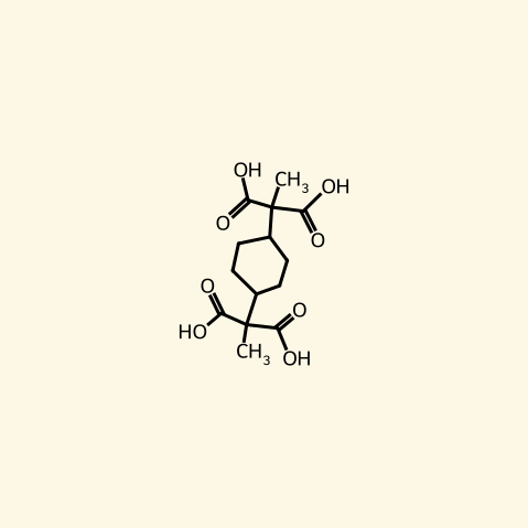 CC(C(=O)O)(C(=O)O)C1CCC(C(C)(C(=O)O)C(=O)O)CC1